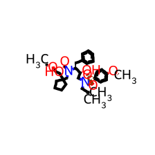 CCOCCC1(CN(C(=O)O)[C@@H](Cc2ccccc2)[C@H](O)CN(CC(C)C)S(=O)(=O)c2ccc(OC)cc2)CCCC1